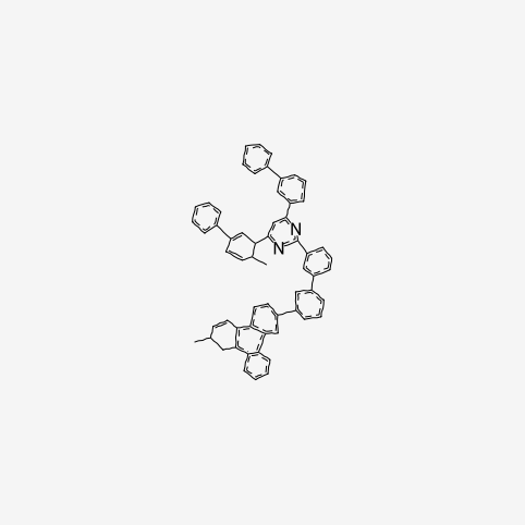 CC1C=Cc2c(c3ccccc3c3cc(-c4cccc(-c5cccc(-c6nc(-c7cccc(-c8ccccc8)c7)cc(C7C=C(c8ccccc8)C=CC7C)n6)c5)c4)ccc23)C1